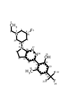 CCN1C[C@H](F)C[C@@H](N2CCc3cc(-c4c(C)cc(C(F)(F)F)cc4O)nnc32)C1